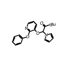 CC(C)(C)C(=O)C(Oc1cccnc1Oc1ccccc1)n1cccc1